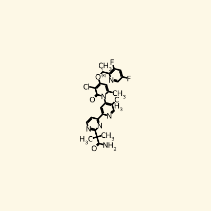 Cc1cnc(-c2ccnc(C(C)(C)C(N)=O)n2)cc1-n1c(C)cc(O[C@H](C)c2ncc(F)cc2F)c(Cl)c1=O